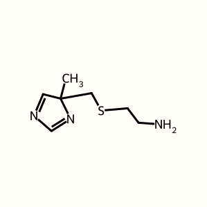 CC1(CSCCN)C=NC=N1